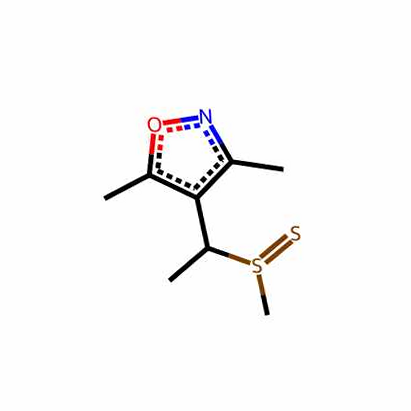 Cc1noc(C)c1C(C)S(C)=S